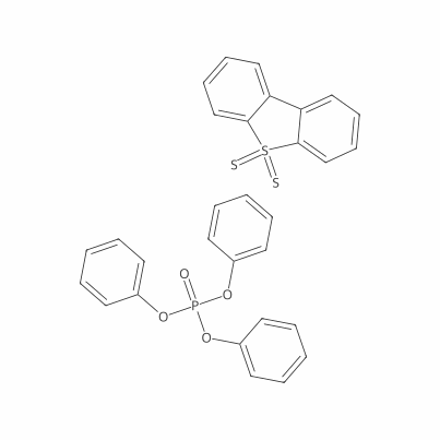 O=P(Oc1ccccc1)(Oc1ccccc1)Oc1ccccc1.S=S1(=S)c2ccccc2-c2ccccc21